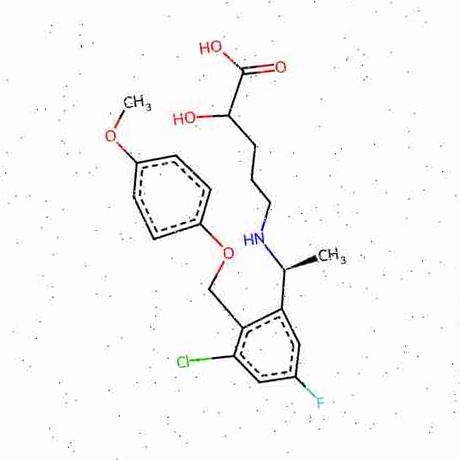 COc1ccc(OCc2c(Cl)cc(F)cc2[C@H](C)NCCCC(O)C(=O)O)cc1